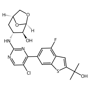 CC(C)(O)c1cc2c(F)cc(-c3nc(N[C@@H]4C[C@H]5CO[C@H](O5)[C@H]4O)ncc3Cl)cc2s1